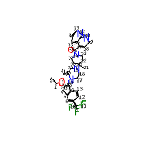 CCO[C@H]1Cc2cc(C(F)(F)F)ccc2[C@H]1N1CCN(C2(C)CCN(C(=O)c3ccnc4ncccc34)CC2)C[C@@H]1C